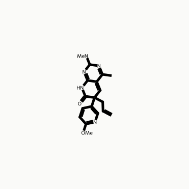 C=CCC1(c2ccc(OC)nc2)C=C2C(C)=NC(NC)N=C2NC1=O